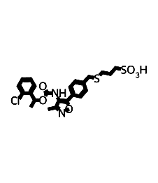 Cc1noc(-c2ccc(CSCCCS(=O)(=O)O)cc2)c1NC(=O)OC(C)c1ccccc1Cl